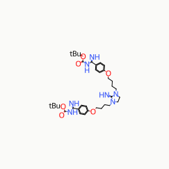 CC(C)(C)OC(=O)NC(=N)c1ccc(OCCCCN2CCN(CCCCOc3ccc(C(=N)NC(=O)OC(C)(C)C)cc3)C2=N)cc1